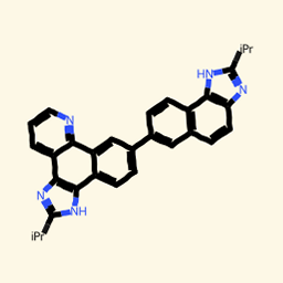 CC(C)c1nc2ccc3cc(-c4ccc5c(c4)c4ncccc4c4nc(C(C)C)[nH]c54)ccc3c2[nH]1